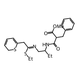 CCS/C(CC1=CC=CCS1)=N\CC(CC)NC(=O)C(Cc1ccccc1)C(=O)OC